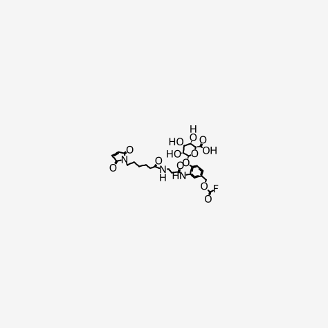 O=C(CCCCCN1C(=O)C=CC1=O)NCCC(=O)Nc1cc(COC(=O)F)ccc1O[C@@H]1O[C@H](C(=O)O)[C@@H](O)[C@H](O)[C@H]1O